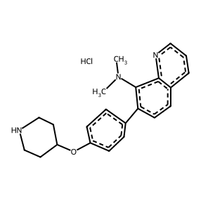 CN(C)c1c(-c2ccc(OC3CCNCC3)cc2)ccc2cccnc12.Cl